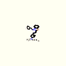 CN(C)c1ccc(/C=C/c2sc3ccccc3[n+]2CCC2CCCCC2)cc1.[I-]